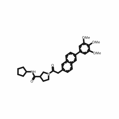 COc1cc(-c2ccc3cc(CC(=O)N4CCC(C(=O)NC5CCCC5)C4)ccc3c2)cc(OC)c1OC